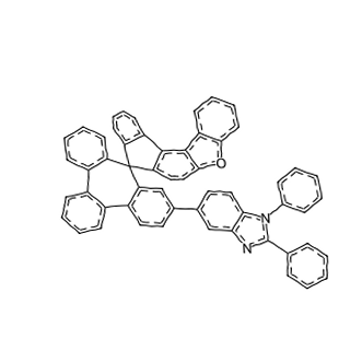 c1ccc(-c2nc3cc(-c4ccc5c(c4)C4(c6ccccc6-c6ccccc6-5)c5ccccc5-c5c4ccc4oc6ccccc6c54)ccc3n2-c2ccccc2)cc1